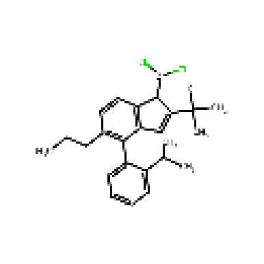 CCCc1ccc2c(c1-c1ccccc1C(C)C)C=C(C(C)(C)C)[CH]2[Zr]([Cl])[Cl]